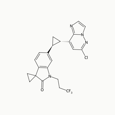 O=C1N(CCC(F)(F)F)c2cc([C@H]3C[C@@H]3c3cc(Cl)nn4ccnc34)ccc2C12CC2